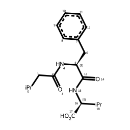 CC(C)CC(=O)N[C@@H](Cc1ccccc1)C(=O)N[C@H](C(=O)O)C(C)C